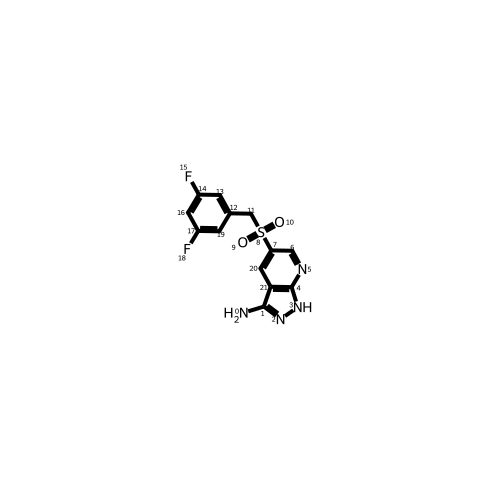 Nc1n[nH]c2ncc(S(=O)(=O)Cc3cc(F)cc(F)c3)cc12